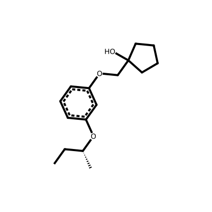 CC[C@@H](C)Oc1cccc(OCC2(O)CCCC2)c1